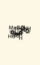 COCc1cnc(Nc2ccccc2)nc1-c1c[nH]c(C(=O)N[C@H](CO)c2ccccc2)c1